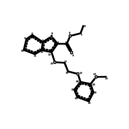 CCOC(=O)c1sc2ccccc2c1OCCOc1ccccc1OC